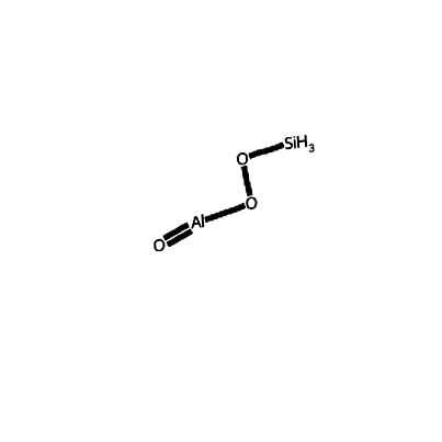 [O]=[Al][O]O[SiH3]